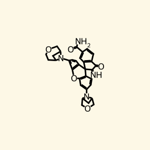 N=C1C(=O)c2ccc(C(N)=O)cc2C12c1ccc(N3C4CCOCC3C4)cc1Oc1cc(N3C4COCC3C4)ccc12